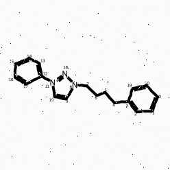 c1ccc(CCCCn2cc[n+](-c3ccccc3)n2)cc1